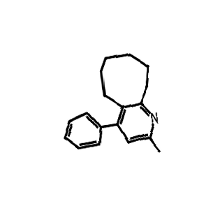 Cc1cc(-c2ccccc2)c2c(n1)CCCCCC2